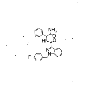 NC(=O)C(NC(=O)c1nn(Cc2ccc(F)cc2)c2ccccc12)c1ccccc1